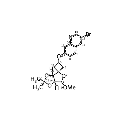 CO[C@@H]1O[C@]2(C[C@H](Oc3ccc4cc(Br)cnc4c3)C2)[C@H]2OC(C)(C)O[C@@H]12